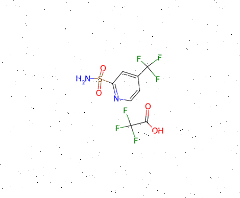 NS(=O)(=O)c1cc(C(F)(F)F)ccn1.O=C(O)C(F)(F)F